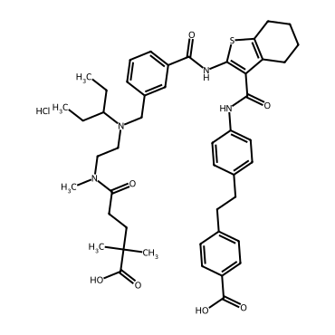 CCC(CC)N(CCN(C)C(=O)CCC(C)(C)C(=O)O)Cc1cccc(C(=O)Nc2sc3c(c2C(=O)Nc2ccc(CCc4ccc(C(=O)O)cc4)cc2)CCCC3)c1.Cl